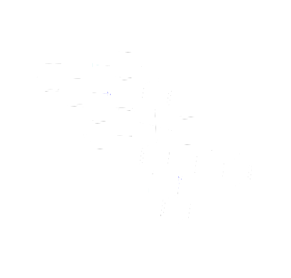 Fc1ccccc1N(c1ccc2c(c1)C1(c3ccccc3-c3ccccc31)c1cc(N(c3ccc4ccccc4c3)c3ccccc3F)c3ccccc3c1-2)c1ccc2ccccc2c1